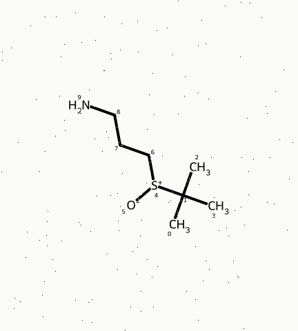 CC(C)(C)[S+]([O-])CCCN